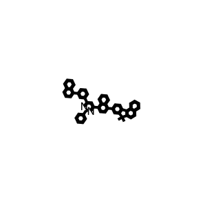 CC1(C)c2cc(-c3ccc(-c4cc(-c5cccc(-c6cccc7ccccc67)c5)nc(-c5ccccc5)n4)c4ccccc34)ccc2-c2c1ccc1ccccc21